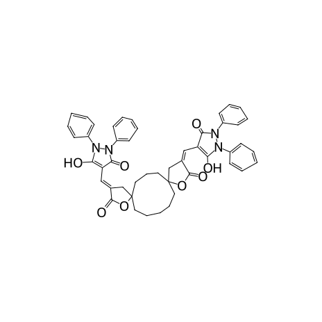 O=C1OC2(CCCCCC3(CCC2)CC(=Cc2c(O)n(-c4ccccc4)n(-c4ccccc4)c2=O)C(=O)O3)CC1=Cc1c(O)n(-c2ccccc2)n(-c2ccccc2)c1=O